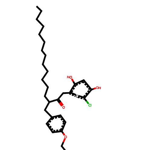 CCCCCCCCCCCCCC(Cc1ccc(OCC)cc1)C(=O)Cc1cc(Cl)c(O)cc1O